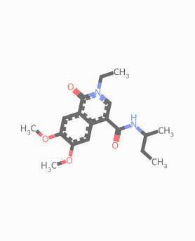 CCC(C)NC(=O)c1cn(CC)c(=O)c2cc(OC)c(OC)cc12